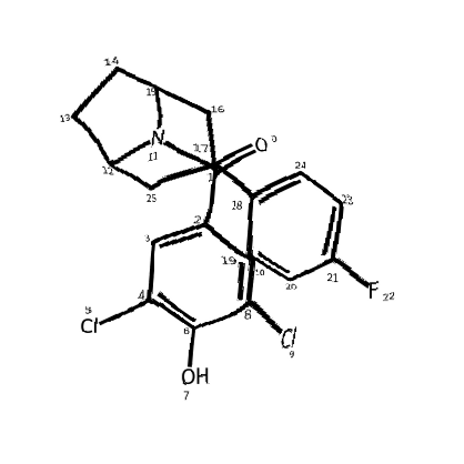 O=C(c1cc(Cl)c(O)c(Cl)c1)N1C2CCC1CC(c1ccc(F)cc1)C2